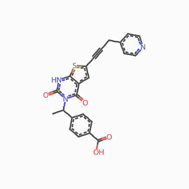 CC(c1ccc(C(=O)O)cc1)n1c(=O)[nH]c2sc(C#CCc3ccncc3)cc2c1=O